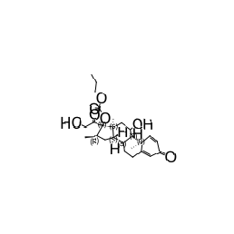 CCCOC(=O)O[C@]1(C(=O)CO)[C@H](C)C[C@H]2[C@@H]3CCC4=CC(=O)C=C[C@]4(C)[C@H]3C(O)C[C@@]21C